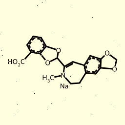 CN1CCc2cc3c(cc2C=C1C1Oc2cccc(C(=O)O)c2O1)OCO3.[Na]